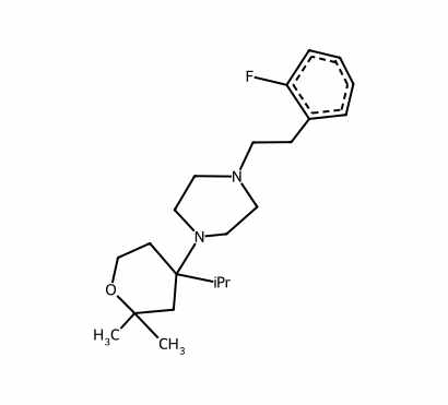 CC(C)C1(N2CCN(CCc3ccccc3F)CC2)CCOC(C)(C)C1